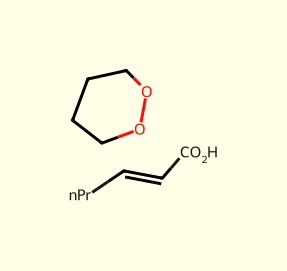 C1CCOOC1.CCCC=CC(=O)O